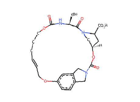 CC(C)(C)[C@@H]1NC(=O)OCCC/C=C/COc2ccc3c(c2)CN(C3)C(=O)O[C@@H]2CC(C(=O)O)N(C2)C1=O